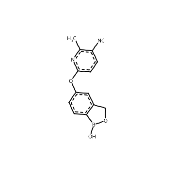 [C-]#[N+]c1ccc(Oc2ccc3c(c2)COB3O)nc1C